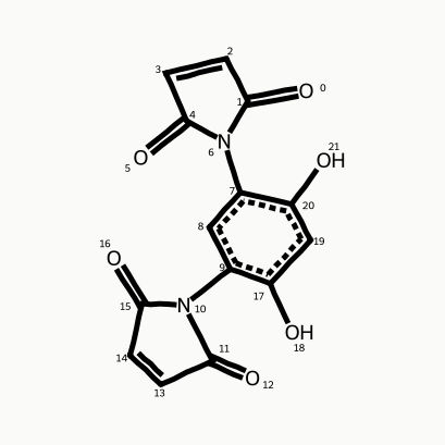 O=C1C=CC(=O)N1c1cc(N2C(=O)C=CC2=O)c(O)cc1O